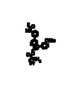 C=CC(=O)Nc1cccc(-c2cnc3c(c2)c(-c2ccnc(OC)c2)cn3COC(=O)[C@@H](N)CC(C)C)c1